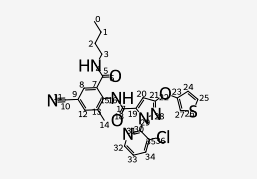 CCCCNC(=O)c1cc(C#N)cc(C)c1NC(=O)c1cc(Oc2ccsc2)nn1-c1ncccc1Cl